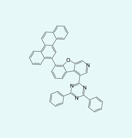 c1ccc(-c2nc(-c3ccccc3)nc(-c3cncc4oc5c(-c6cc7c8ccccc8ccc7c7ccccc67)cccc5c34)n2)cc1